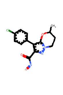 CC1CCn2nc(C(=O)N=O)c(-c3ccc(Cl)cc3)c2O1